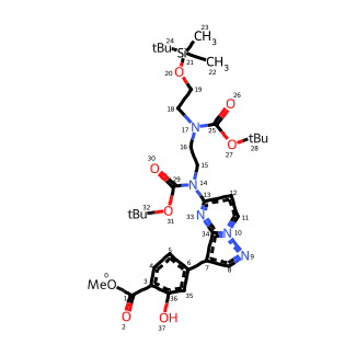 COC(=O)c1ccc(-c2cnn3ccc(N(CCN(CCO[Si](C)(C)C(C)(C)C)C(=O)OC(C)(C)C)C(=O)OC(C)(C)C)nc23)cc1O